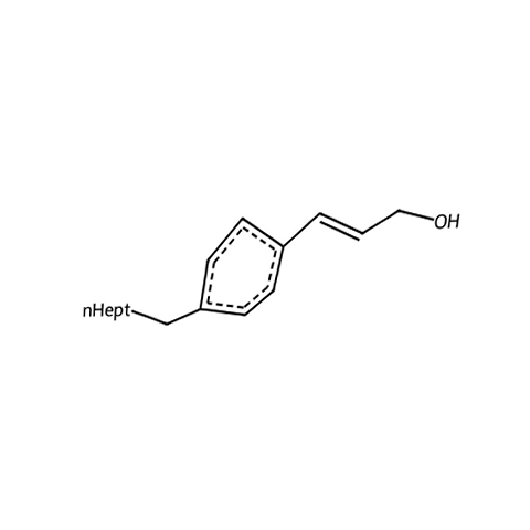 CCCCCCCCc1ccc(C=CCO)cc1